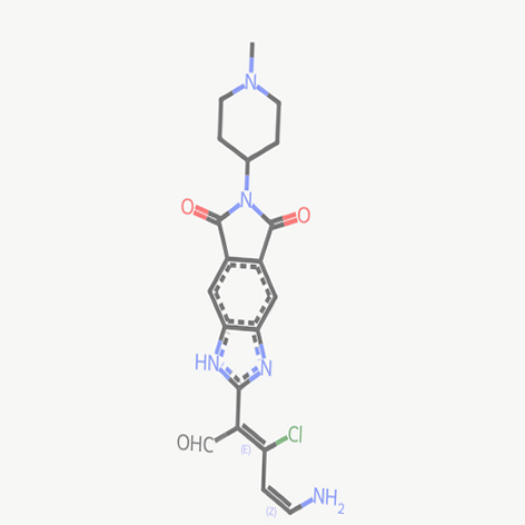 CN1CCC(N2C(=O)c3cc4nc(/C(C=O)=C(Cl)/C=C\N)[nH]c4cc3C2=O)CC1